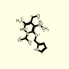 C[SiH2]C1=C(OCc2ccco2)N(C(Cl)Cl)NC(C)=C1CCl